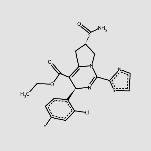 CCOC(=O)C1=C2C[C@H](C(N)=O)CN2C(c2nccs2)=N[C@H]1c1ccc(F)cc1Cl